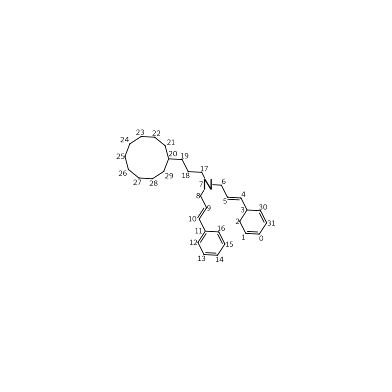 C1=CCC(/C=C/CN(C/C=C/c2ccccc2)CCCC2CCCCCCCCC2)C=C1